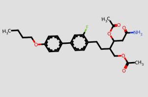 CCCCOc1ccc(-c2ccc(CCC(COC(C)=O)C(CC(N)=O)OC(C)=O)c(F)c2)cc1